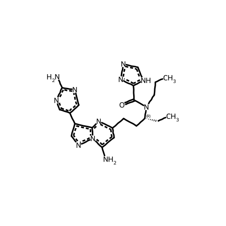 CCCN(C(=O)c1nnc[nH]1)[C@H](CC)CCc1cc(N)n2ncc(-c3cnc(N)nc3)c2n1